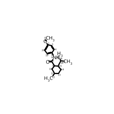 COc1ccc(NC(=O)C2CC(C)CCC2C(C)C)cc1